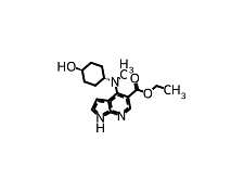 CCOC(=O)c1cnc2[nH]ccc2c1N(C)[C@H]1CC[C@H](O)CC1